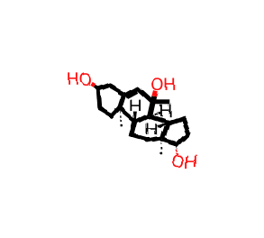 CC1(O)C=C2CC(O)CC[C@]2(C)[C@H]2CC[C@]3(C)[C@@H](O)CC[C@H]3[C@@H]21